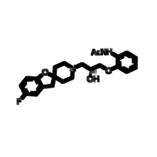 CC(=O)Nc1ccccc1OC[C@H](O)CN1CCC2(CC1)Cc1cc(F)ccc1O2